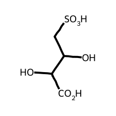 O=C(O)[C](O)C(O)CS(=O)(=O)O